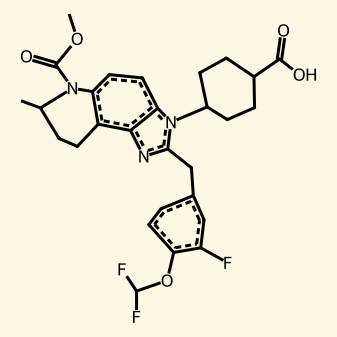 COC(=O)N1c2ccc3c(nc(Cc4ccc(OC(F)F)c(F)c4)n3C3CCC(C(=O)O)CC3)c2CCC1C